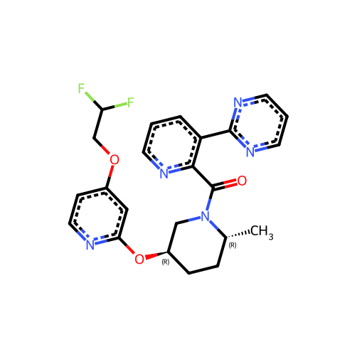 C[C@@H]1CC[C@@H](Oc2cc(OCC(F)F)ccn2)CN1C(=O)c1ncccc1-c1ncccn1